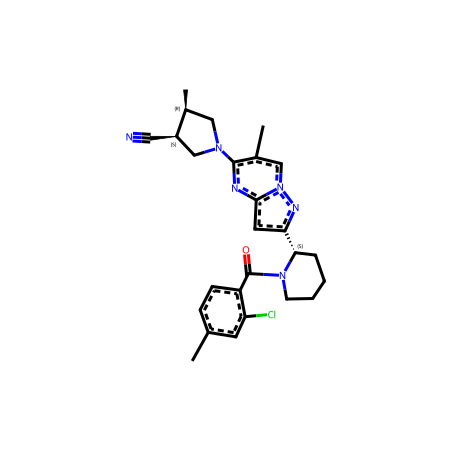 Cc1ccc(C(=O)N2CCCC[C@H]2c2cc3nc(N4C[C@@H](C#N)[C@@H](C)C4)c(C)cn3n2)c(Cl)c1